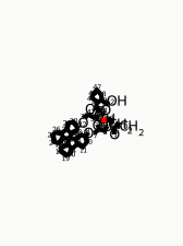 C=CC(=O)OCC(COc1ccc2c(c1)C1(c3ccccc3-2)c2ccccc2-c2ccc(OCC(COC(=O)C=C)OC(=O)C3CC=CCC3C(=O)O)cc21)OC